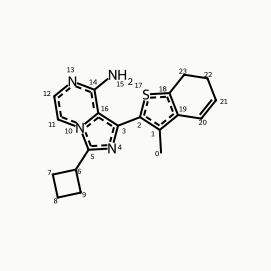 Cc1c(-c2nc(C3CCC3)n3ccnc(N)c23)sc2c1C=CCC2